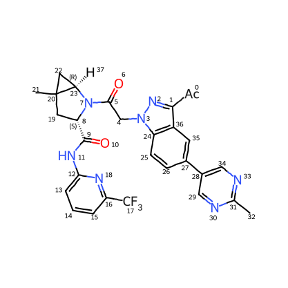 CC(=O)c1nn(CC(=O)N2[C@H](C(=O)Nc3cccc(C(F)(F)F)n3)CC3(C)C[C@@H]23)c2ccc(-c3cnc(C)nc3)cc12